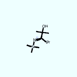 CC(C)/C(=N\[Si](C)(C)C)C(C)(C)O